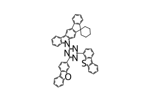 c1ccc2c(c1)-c1cc3c4ccccc4n(-c4nc(-c5ccc6c(c5)oc5ccccc56)nc(-c5cccc6c5sc5ccccc56)n4)c3cc1C21CCCCC1